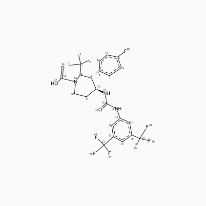 CC(C)(C)C1[C@H](c2ccc(F)cc2)[C@@H](NC(=O)Nc2cc(C(F)(F)F)cc(C(F)(F)F)c2)CCN1C(=O)O